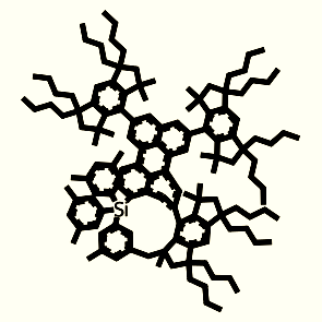 CCCCC1(CCCC)CC(C)(C)c2c1cc1c(c2-c2cc3cc(-c4c5c(cc6c4C(C)(C)CC6(CCCC)CCCC)C(CCCC)(CCCC)CC5(C)C)cc4c5cc6cc7c(ccc(c(c2)c34)c75)[Si](c2cc(C)cc(C)c2)(c2cc(C)cc(C)c2)c2cc(C)cc(c2)CC2(C)CC(CCCC)(CCCC)c3cc4c(c-6c32)C(C)(C)CC4(CCCC)CCCC)C(C)(C)CC1(CCCC)CCCC